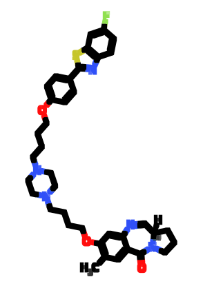 Cc1cc2c(cc1OCCCCN1CCN(CCCCOc3ccc(-c4nc5ccc(F)cc5s4)cc3)CC1)N=C[C@@H]1CCCN1C2=O